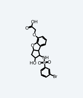 O=C(O)COc1cccc2c1OC1CC(O)C(NS(=O)(=O)c3cccc(Br)c3)C21